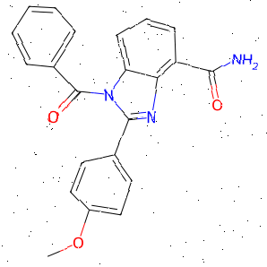 COc1ccc(-c2nc3c(C(N)=O)cccc3n2C(=O)c2ccccc2)cc1